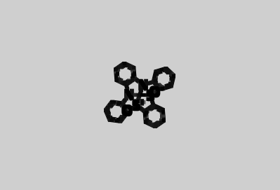 [O-][S+]1c2ccccc2[S+]([O-])C12N(c1ccccc1)c1ccccc1N2c1ccccc1